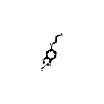 [O-][s+]1nc2ccc(OCCBr)cc2n1